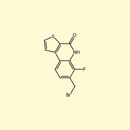 O=c1[nH]c2c(F)c(CBr)ccc2c2ccsc12